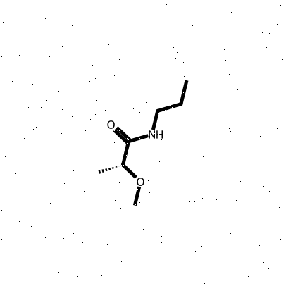 CCCNC(=O)[C@@H](C)OC